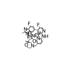 CCN(CC)C(=O)C[C@]1(C)CN(Cc2ccc(Nc3ncc(F)c(-c4cc(F)c5nc(C)n(C(C)C)c5c4)n3)nc2)CCO1